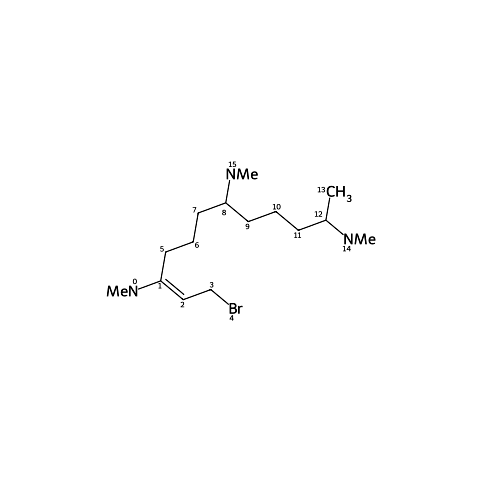 CNC(=CCBr)CCCC(CCCC(C)NC)NC